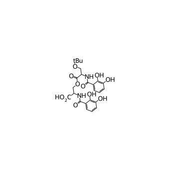 CC(C)(C)OCC(NC(=O)c1cccc(O)c1O)C(=O)OCC(NC(=O)c1cccc(O)c1O)C(=O)O